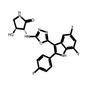 O=C1NC[C@H](O)[C@H]1Nc1nnc(-c2c(-c3ccc(F)cc3)[nH]c3c(F)cc(F)cc23)o1